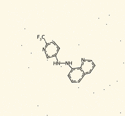 FC(F)(F)c1ccc(NNc2cccc3cccnc23)cn1